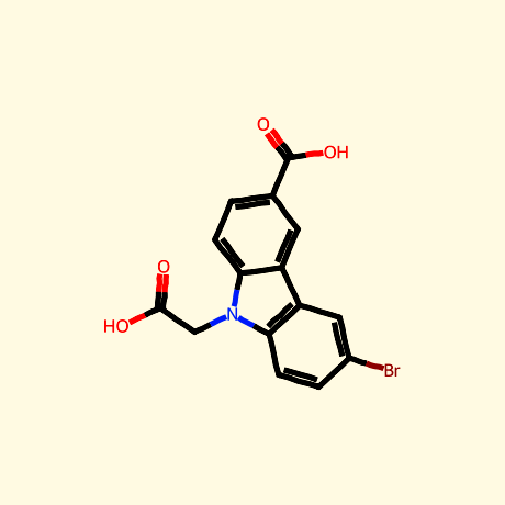 O=C(O)Cn1c2ccc(Br)cc2c2cc(C(=O)O)ccc21